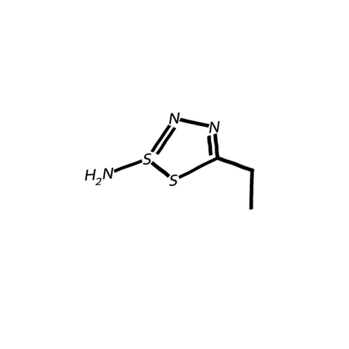 CCC1=NN=S(N)S1